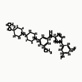 COC1CCN(C2CCN(c3cc(C)cc(Nc4ncn(-c5cc(F)cc(F)c5)n4)c3)CC2)CC1